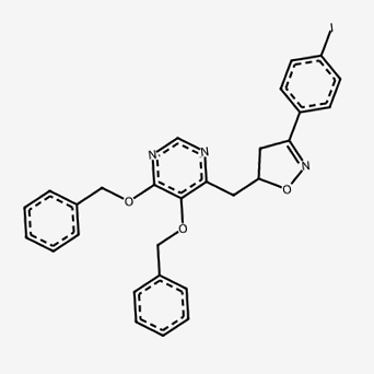 Ic1ccc(C2=NOC(Cc3ncnc(OCc4ccccc4)c3OCc3ccccc3)C2)cc1